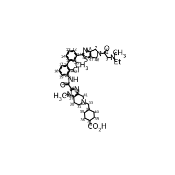 CCN(C)CC(=O)N1Cc2nc(-c3cccc(-c4cccc(NC(=O)c5nc6c(n5C)CCN(CC5CCC(C(=O)O)CC5)C6)c4Cl)c3C)sc2C1